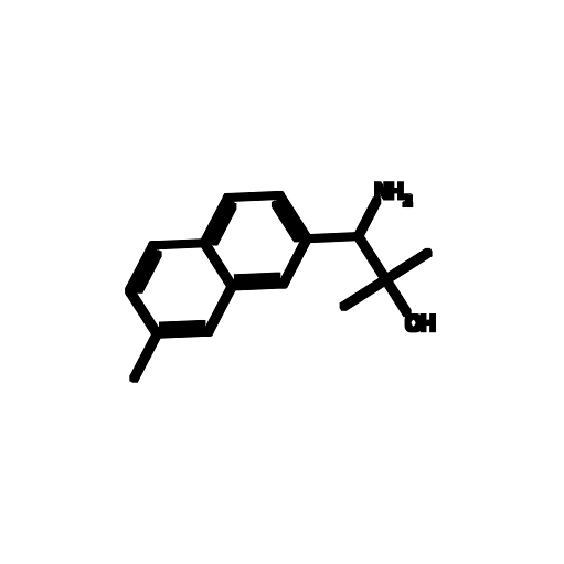 Cc1ccc2ccc(C(N)C(C)(C)O)cc2c1